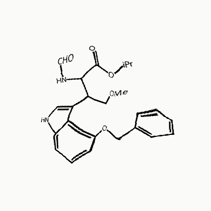 COCC(c1c[nH]c2cccc(OCc3ccccc3)c12)C(NC=O)C(=O)OC(C)C